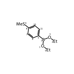 CCOB(OCC)c1ccc(SC)cc1